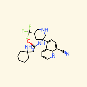 N#Cc1ccc([C@@]2(NC(=O)CC3(N)CCCCC3)CNC[C@@H](C(F)(F)F)C2)c2cccnc12